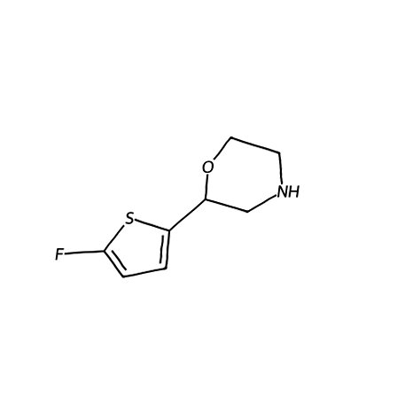 Fc1ccc(C2CNCCO2)s1